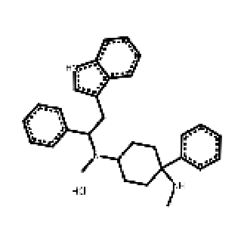 CNC1(c2ccccc2)CCC(N(C)C(Cc2c[nH]c3ccccc23)c2ccccc2)CC1.Cl